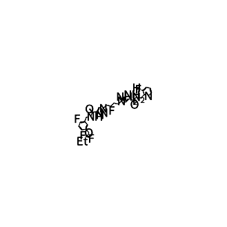 CCC(F)(F)Oc1ccc(F)c(CNC(=O)c2cn(CC(F)CCN(N)/C=C(\N)C(=O)NCc3ncccc3F)nn2)c1